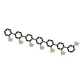 Brc1[c]ccc(-c2ccc(-c3ccc(-c4ccc(-c5ccc(-c6ccc(-c7ccccc7Br)cc6Br)cc5Br)cc4Br)cc3Br)cc2Br)c1